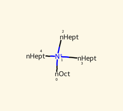 CCCCCCCC[N+](CCCCCCC)(CCCCCCC)CCCCCCC